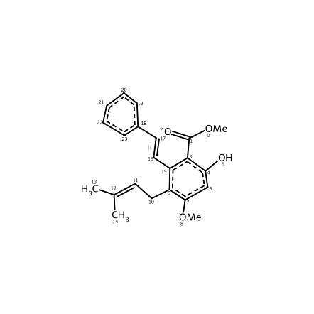 COC(=O)c1c(O)cc(OC)c(CC=C(C)C)c1/C=C/c1ccccc1